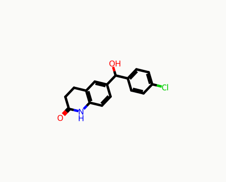 O=C1CCc2cc(C(O)c3ccc(Cl)cc3)ccc2N1